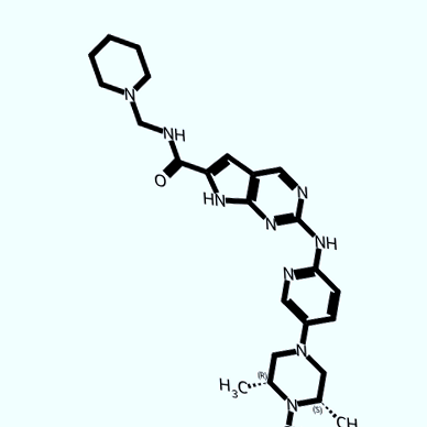 C[C@@H]1CN(c2ccc(Nc3ncc4cc(C(=O)NCN5CCCCC5)[nH]c4n3)nc2)C[C@H](C)N1C